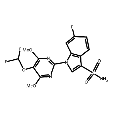 COc1nc(-n2cc(S(N)(=O)=O)c3ccc(F)cc32)nc(OC)c1OC(F)F